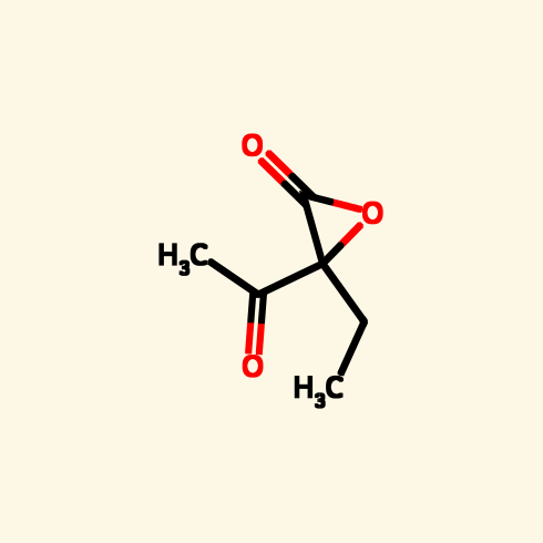 CCC1(C(C)=O)OC1=O